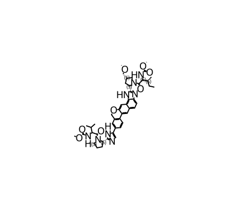 CC[C@H](C)[C@H](NC(=O)OC)C(=O)N1C[C@@H](COC)C[C@H]1c1nc2ccc3cc4c(cc3c2[nH]1)OCc1cc(-c2cnc([C@@H]3CC[C@H](C)N3C(=O)C(NC(=O)OC)C(C)C)[nH]2)ccc1-4